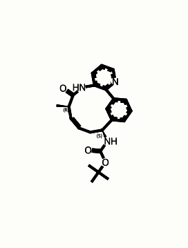 C[C@@H]1C=CC[C@H](NC(=O)OC(C)(C)C)c2cccc(c2)-c2ncccc2NC1=O